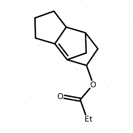 CCC(=O)OC1CC2CC1=C1CCCC12